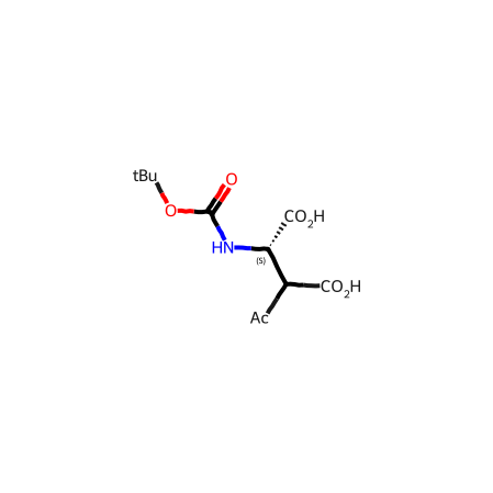 CC(=O)C(C(=O)O)[C@H](NC(=O)OC(C)(C)C)C(=O)O